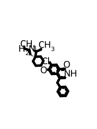 CCCC[C@]1(C(N)CC)CC[C@@H](Oc2cc3c(Cc4ccccc4)c[nH]c(=O)c3cc2Cl)CC1